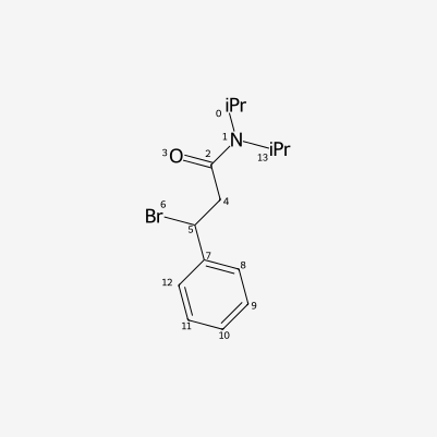 CC(C)N(C(=O)CC(Br)c1ccccc1)C(C)C